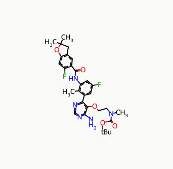 Cc1c(NC(=O)c2cc3c(cc2F)OC(C)(C)C3)cc(F)cc1-c1ncnc(N)c1OCCN(C)C(=O)OC(C)(C)C